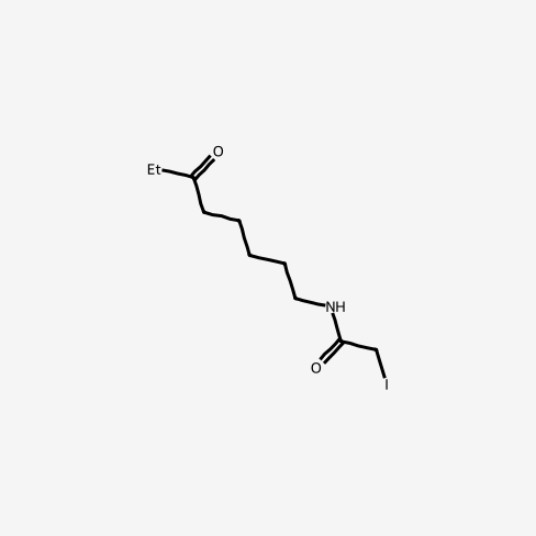 CCC(=O)CCCCCNC(=O)CI